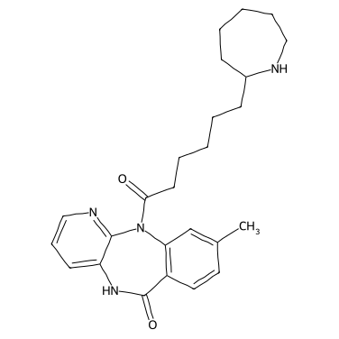 Cc1ccc2c(c1)N(C(=O)CCCCCC1CCCCCN1)c1ncccc1NC2=O